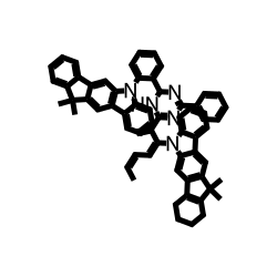 C=C(C1=NC(c2ccccc2)=NC(c2ccccc2-n2c3ccccc3c3cc4c(cc32)-c2ccccc2C4(C)C)N1)/C(=C\C=C/C)n1c2ccccc2c2cc3c(cc21)C1=C(CCCC1)C3(C)C